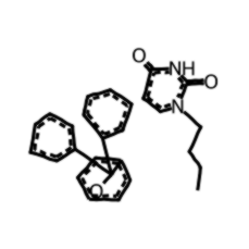 CCCCn1ccc(=O)[nH]c1=O.c1ccc(C2(c3ccccc3)Oc3ccc2cc3)cc1